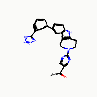 COC(=O)c1cnc(N2CCc3[nH]c4ccc(-c5cccc(-c6nnn[nH]6)c5)cc4c3C2)nc1